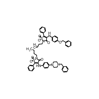 CCCCN1C(=O)C(Nc2ccc(N3CCN(Cc4ccccc4)CC3)cc2)=C(c2ccccc2)S1(=O)=O.CCCCN1C(=O)C(Nc2ccc(OCc3ccccc3)cc2)=C(c2ccccc2)S1(=O)=O